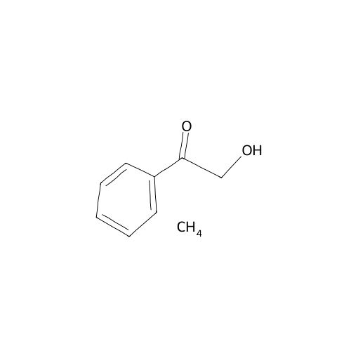 C.O=C(CO)c1ccccc1